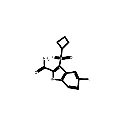 NC(=O)c1[nH]c2ccc(Cl)cc2c1S(=O)(=O)C1CCC1